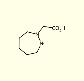 O=C(O)CN1CCCCC[N]1